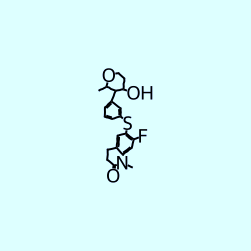 CC1OCCC(O)C1c1cccc(Sc2cc3c(cc2F)N(C)C(=O)CC3)c1